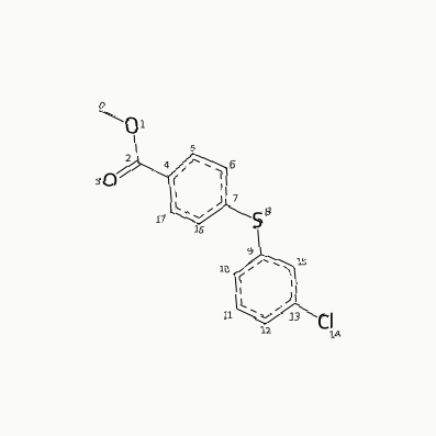 COC(=O)c1ccc(Sc2cccc(Cl)c2)cc1